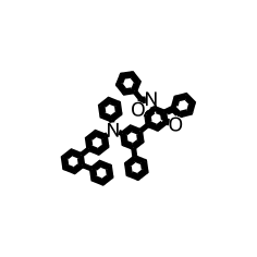 c1ccc(-c2cc(-c3cc4oc5ccccc5c4c4nc(-c5ccccc5)oc34)cc(N(c3ccccc3)c3ccc(-c4ccccc4-c4ccccc4)cc3)c2)cc1